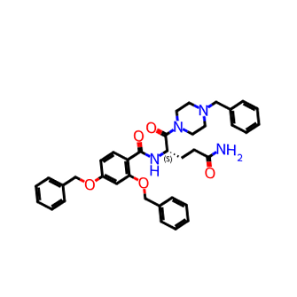 NC(=O)CC[C@H](NC(=O)c1ccc(OCc2ccccc2)cc1OCc1ccccc1)C(=O)N1CCN(Cc2ccccc2)CC1